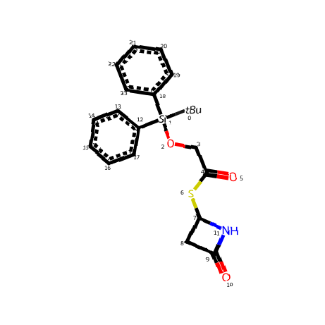 CC(C)(C)[Si](OCC(=O)SC1CC(=O)N1)(c1ccccc1)c1ccccc1